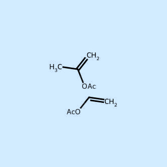 C=C(C)OC(C)=O.C=COC(C)=O